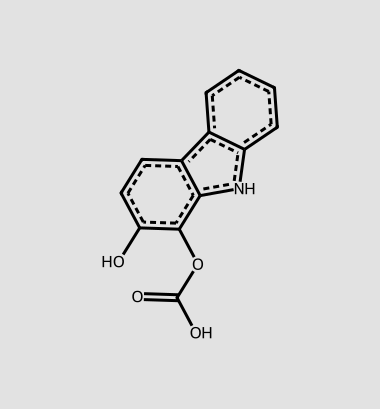 O=C(O)Oc1c(O)ccc2c1[nH]c1ccccc12